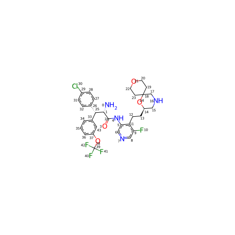 N[C@H](C(=O)Nc1cncc(F)c1CC[C@@H]1CNCC2(CCOCC2)O1)[C@@H](c1ccc(Cl)cc1)c1cccc(OC(F)(F)F)c1